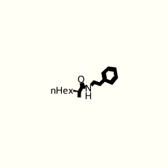 CCCCCC[C@H](C)C(=O)NCCc1ccccc1